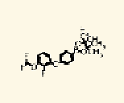 CC1(C)OB(c2ccc(Oc3cccc(OC(F)F)c3F)cc2)OC1(C)C